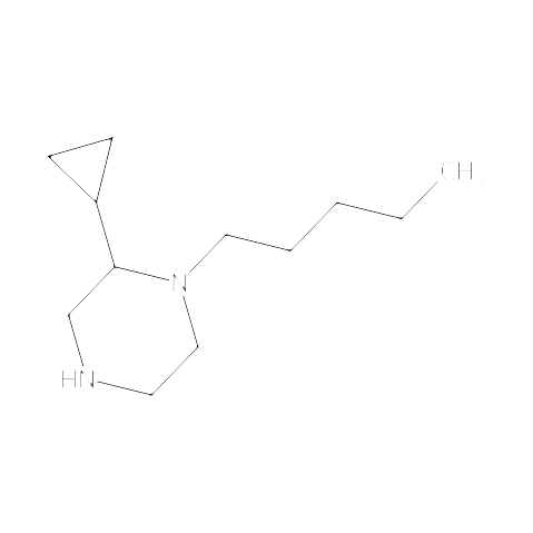 CCCCCN1CCNCC1C1CC1